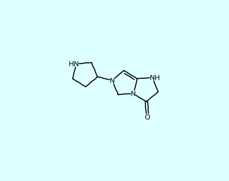 O=C1CNC2=CN(C3CCNC3)CN12